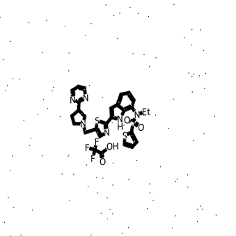 CCN(c1cccc2cc(-c3ncc(CN4CCC(c5ncccn5)C4)s3)[nH]c12)S(=O)(=O)c1cccs1.O=C(O)C(F)(F)F